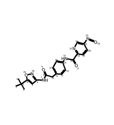 CC(C)(C)c1cc(NC(=O)Cc2ccc(NC(=O)c3ccc(N=O)cn3)cc2)no1